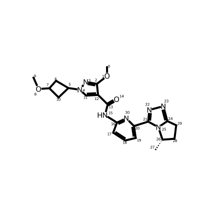 COc1nn(C2CC(OC)C2)cc1C(=O)Nc1cccc(-c2nnc3n2[C@@H](C)CC3)n1